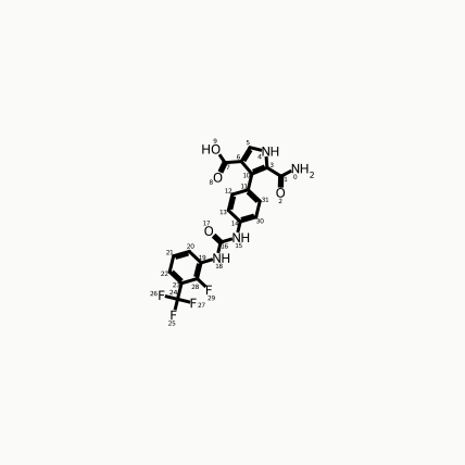 NC(=O)c1[nH]cc(C(=O)O)c1-c1ccc(NC(=O)Nc2cccc(C(F)(F)F)c2F)cc1